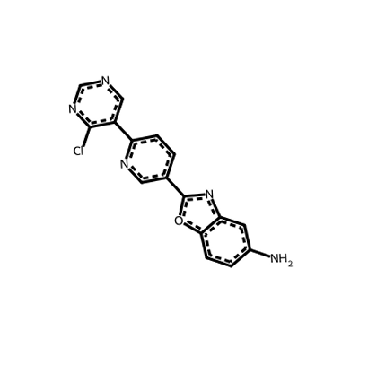 Nc1ccc2oc(-c3ccc(-c4cncnc4Cl)nc3)nc2c1